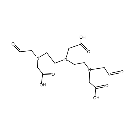 O=[C]CN(CCN(CCN(C[C]=O)CC(=O)O)CC(=O)O)CC(=O)O